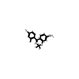 Cc1cc(F)ccc1C1=NC(C)(C)Oc2cc(N)ccc21